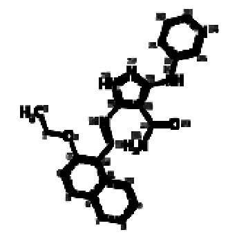 CCOc1ccc2ccccc2c1/C=N/c1[nH]nc(Nc2cccnc2)c1C(N)=O